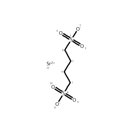 O=S(=O)([O-])CCCCS(=O)(=O)[O-].[Sr+2]